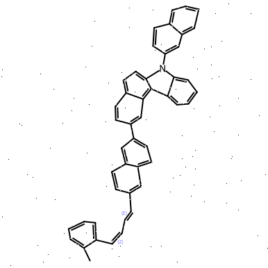 Cc1ccccc1/C=C\C=C\c1ccc2cc(-c3ccc4ccc5c(c4c3)c3ccccc3n5-c3ccc4ccccc4c3)ccc2c1